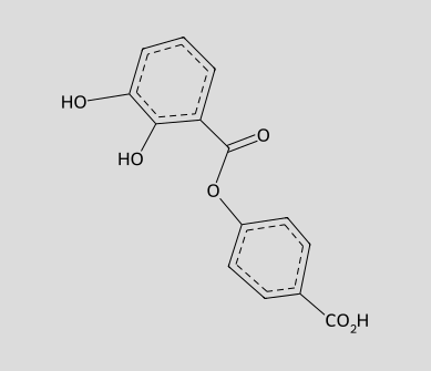 O=C(O)c1ccc(OC(=O)c2cccc(O)c2O)cc1